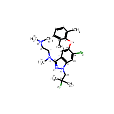 Cc1cccc(C)c1Oc1cc2c(N(C)CCN(C)C)nn(CC(C)(C)F)c2cc1Br